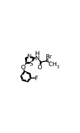 C[C@H](Br)C(=O)Nc1ncc(Oc2cccc(F)c2)s1